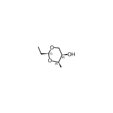 CC[C@H]1OC[C@@H](O)[C@@H](C)O1